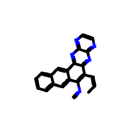 C=Nc1c(/C=C\C)c2nc3nccnc3nc2c2cc3ccccc3cc12